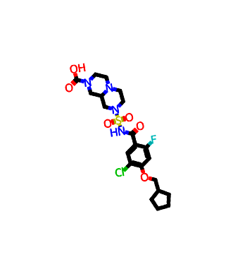 O=C(NS(=O)(=O)N1CCN2CCN(C(=O)O)CC2C1)c1cc(Cl)c(OCC2CCCC2)cc1F